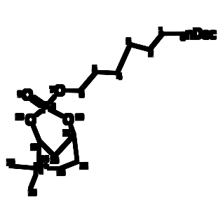 CCCCCCCCCCCCCCCCOP1(=O)OC2CC[N+](C)(C)C(C2)O1